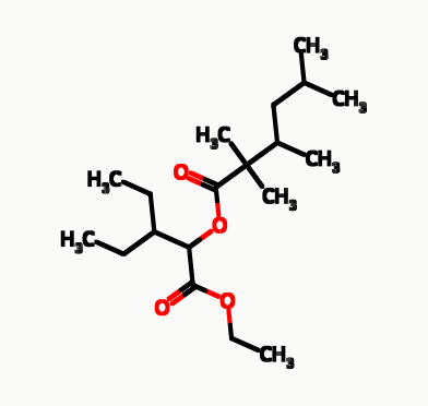 CCOC(=O)C(OC(=O)C(C)(C)C(C)CC(C)C)C(CC)CC